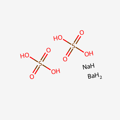 O=S(=O)(O)O.O=S(=O)(O)O.[BaH2].[NaH]